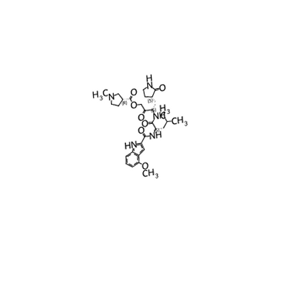 COc1cccc2[nH]c(C(=O)N[C@@H](CC(C)C)C(=O)N[C@@H](C[C@@H]3CCNC3=O)C(=O)COC(=O)[C@@H]3CCN(C)C3)cc12